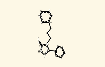 S=c1[nH]nc(-c2ccccc2)n1CCCc1ccccc1